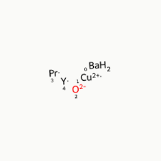 [BaH2].[Cu+2].[O-2].[Pr].[Y]